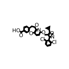 O=C(O)c1ccc2c(c1)Oc1ccc(OCc3c(-c4c(Cl)cccc4Cl)noc3C3CC3)nc1C(=O)C2